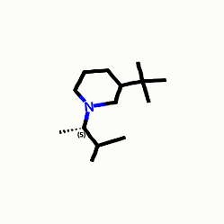 CC(C)[C@H](C)N1CCCC(C(C)(C)C)C1